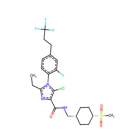 CCc1nc(C(=O)NC[C@H]2CC[C@@H](S(C)(=O)=O)CC2)c(Cl)n1-c1ccc(CCC(F)(F)F)cc1F